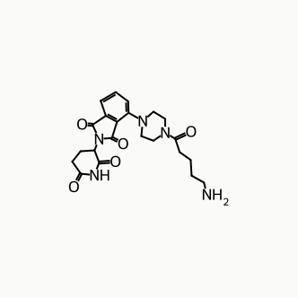 NCCCCC(=O)N1CCN(c2cccc3c2C(=O)N(C2CCC(=O)NC2=O)C3=O)CC1